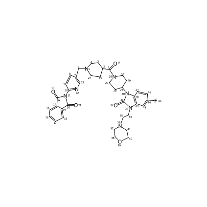 O=C(C1CCN(Cc2ccc(N3C(=O)c4ccccc4C3=O)nc2)CC1)N1CCC(n2c(=O)n(CCN3CCOCC3)c3cc(F)ccc32)CC1